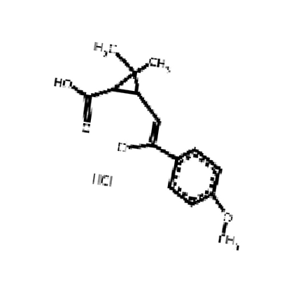 COc1ccc(C(Cl)=CC2C(C(=O)O)C2(C)C)cc1.Cl